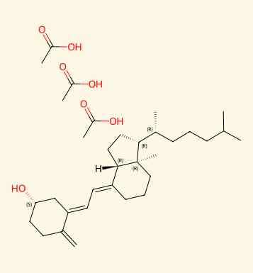 C=C1CC[C@H](O)CC1=CC=C1CCC[C@]2(C)[C@@H]([C@H](C)CCCC(C)C)CC[C@@H]12.CC(=O)O.CC(=O)O.CC(=O)O